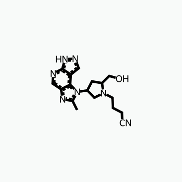 Cc1nc2cnc3[nH]ncc3c2n1C1CC(CO)N(CCCC#N)C1